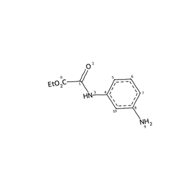 CCOC(=O)C(=O)Nc1cccc(N)c1